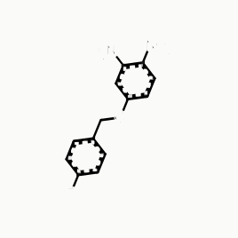 O=[N+]([O-])c1ccc(OCc2ccc(F)cc2)cc1[N+](=O)[O-]